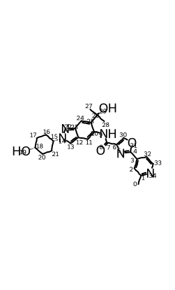 Cc1cc(-c2nc(C(=O)Nc3cc4cn([C@H]5CC[C@@H](O)CC5)nc4cc3C(C)(C)O)co2)ccn1